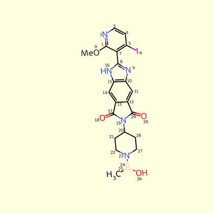 COc1nccc(I)c1-c1nc2cc3c(cc2[nH]1)C(=O)N(C1CCN(B(C)O)CC1)C3=O